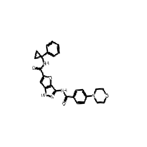 O=C(Nc1n[nH]c2cc(C(=O)NC3(c4ccccc4)CC3)oc12)c1ccc(N2CCOCC2)cc1